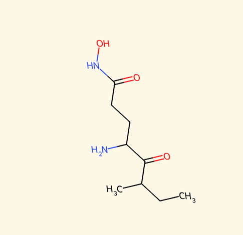 CCC(C)C(=O)C(N)CCC(=O)NO